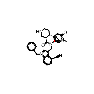 Cn1ccc([C@H]2CCNC[C@@H]2C(=O)N(Cc2cn(Cc3ccccc3)c3cccc(C#N)c23)C2CC2)cc1=O